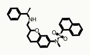 C[C@@H](NCC1CCc2ccc(N(C)S(=O)(=O)c3cccc4ccccc34)cc2O1)c1ccccc1